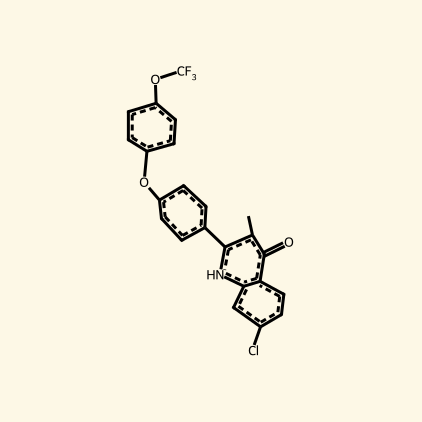 Cc1c(-c2ccc(Oc3ccc(OC(F)(F)F)cc3)cc2)[nH]c2cc(Cl)ccc2c1=O